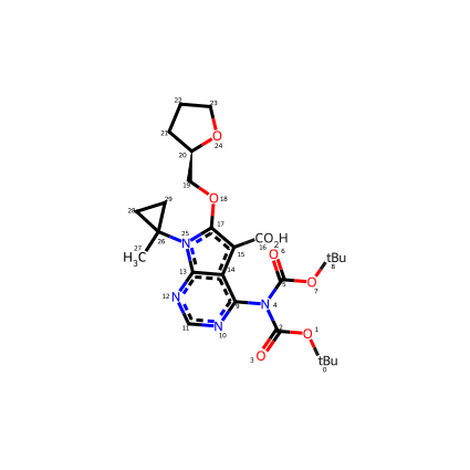 CC(C)(C)OC(=O)N(C(=O)OC(C)(C)C)c1ncnc2c1c(C(=O)O)c(OC[C@H]1CCCO1)n2C1(C)CC1